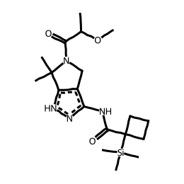 COC(C)C(=O)N1Cc2c(NC(=O)C3([Si](C)(C)C)CCC3)n[nH]c2C1(C)C